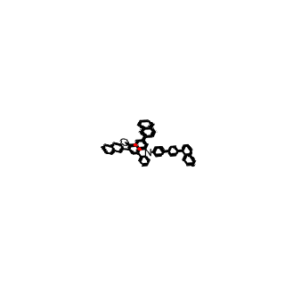 c1cc(-c2ccc3ccccc3c2)cc(N(c2ccc(-c3ccc(-c4cccc5ccccc45)cc3)cc2)c2ccccc2-c2ccc3oc4cc5ccccc5cc4c3c2)c1